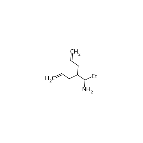 C=CCC(CC=C)C(N)CC